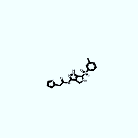 Cc1cccc(S(=O)(=O)C2NCc3c(NC(=O)Cc4cccs4)n[nH]c32)c1